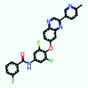 Cc1ccc(-c2cnc3ccc(Oc4c(F)cc(NC(=O)c5cccc(F)c5)cc4F)cc3n2)cn1